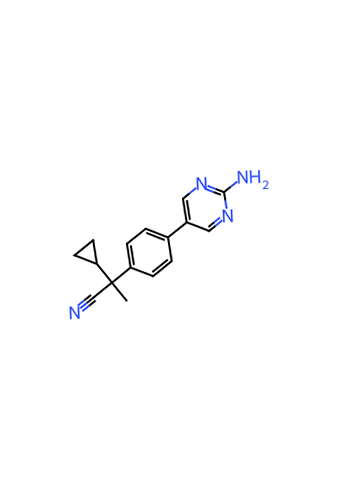 CC(C#N)(c1ccc(-c2cnc(N)nc2)cc1)C1CC1